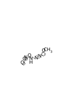 COc1cccc(N2CCN(CCNC(=O)c3cc(-c4ccco4)on3)CC2)c1